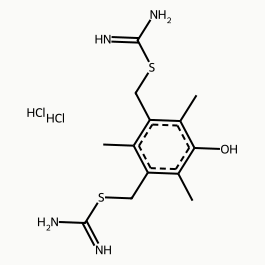 Cc1c(O)c(C)c(CSC(=N)N)c(C)c1CSC(=N)N.Cl.Cl